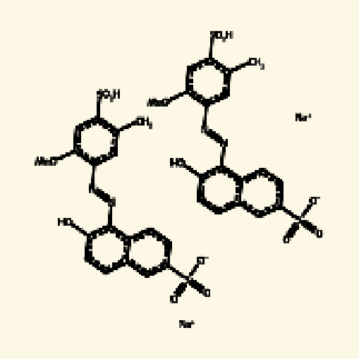 COc1cc(S(=O)(=O)O)c(C)cc1N=Nc1c(O)ccc2cc(S(=O)(=O)[O-])ccc12.COc1cc(S(=O)(=O)O)c(C)cc1N=Nc1c(O)ccc2cc(S(=O)(=O)[O-])ccc12.[Na+].[Na+]